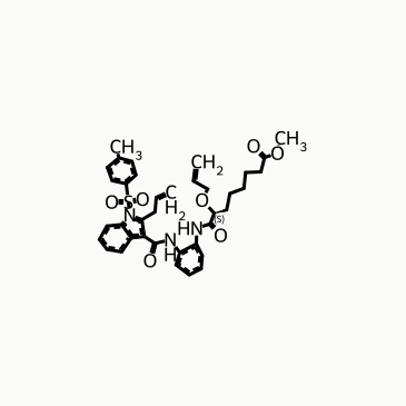 C=CCO[C@@H](CCCCCC(=O)OC)C(=O)Nc1ccccc1NC(=O)c1c(CC=C)n(S(=O)(=O)c2ccc(C)cc2)c2ccccc12